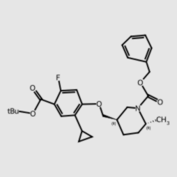 C[C@@H]1CC[C@@H](COc2cc(F)c(C(=O)OC(C)(C)C)cc2C2CC2)CN1C(=O)OCc1ccccc1